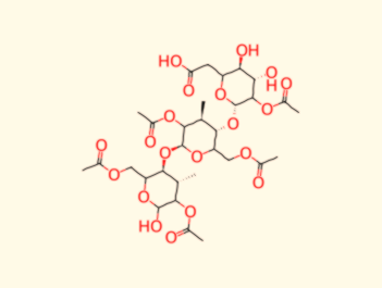 CC(=O)OCC1OC(O)C(OC(C)=O)[C@@H](C)[C@@H]1O[C@@H]1OC(COC(C)=O)[C@@H](O[C@@H]2OC(CC(=O)O)[C@@H](O)[C@H](O)C2OC(C)=O)[C@H](C)C1OC(C)=O